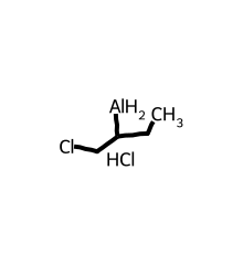 CC[CH]([AlH2])CCl.Cl